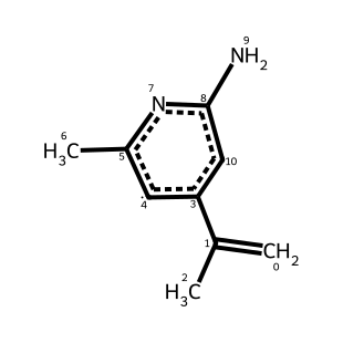 C=C(C)c1[c]c(C)nc(N)c1